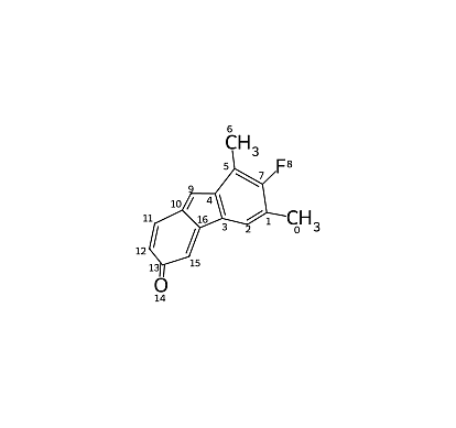 Cc1cc2c(c(C)c1F)C=C1C=CC(=O)C=C12